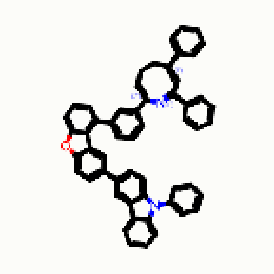 C1=C(c2cccc(-c3cccc4oc5ccc(-c6ccc7c(c6)c6ccccc6n7-c6ccccc6)cc5c34)c2)/N=C(c2ccccc2)\C=C(\c2ccccc2)CC\1